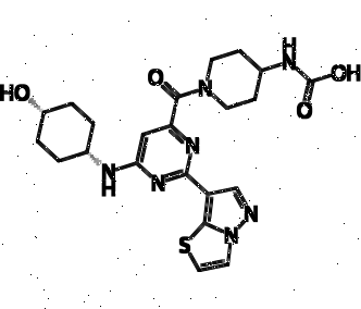 O=C(O)NC1CCN(C(=O)c2cc(N[C@H]3CC[C@@H](O)CC3)nc(-c3cnn4ccsc34)n2)CC1